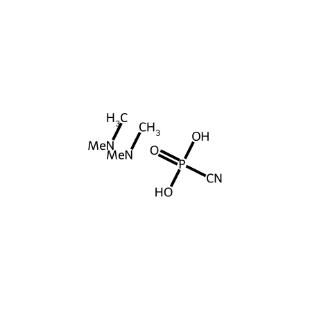 CNC.CNC.N#CP(=O)(O)O